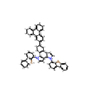 c1ccc2c(c1)sc1c(-n3ccc4c5cc(-c6ccc7c8ccccc8c8ccccc8c7c6)ccc5c5c(ccn5-c5cccc6c5sc5ccccc56)c43)cccc12